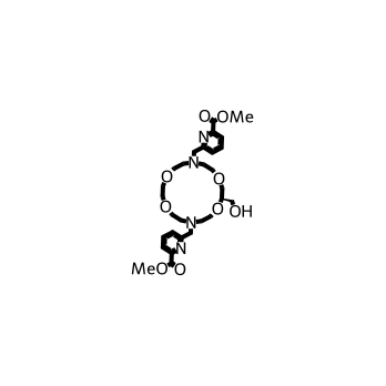 COC(=O)c1cccc(CN2CCOCCOCCN(Cc3cccc(C(=O)OC)n3)CCO[C@H](CO)COCC2)n1